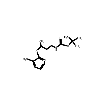 CC(CCNC(=O)OC(C)(C)C)Oc1ncccc1N